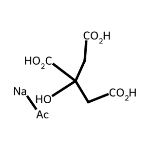 C[C](=O)[Na].O=C(O)CC(O)(CC(=O)O)C(=O)O